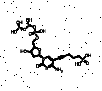 Nc1nc(=O)n(C2CC(O)C(COP(=O)(O)OP(O)OP(O)O)O2)cc1C#CCCCP(=O)(O)O